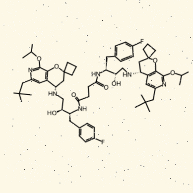 CC(C)Oc1nc(CC(C)(C)C)cc2c1OC1(CCC1)C[C@@H]2NC[C@H](O)[C@H](Cc1ccc(F)cc1)NC(=O)CCC(=O)N[C@@H](Cc1ccc(F)cc1)[C@@H](O)CN[C@@H]1CC2(CCC2)Oc2c1cc(CC(C)(C)C)nc2OC(C)C